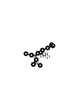 CC1(C)c2cc(-c3ccc(C45CC6CC(CC(C6)C4)C5)cc3)ccc2-c2ccc(N(c3ccc(-c4ccccc4)cc3)c3ccc4c(c3)c3ccccc3n4-c3ccccc3)cc21